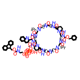 CC(C)[C@H]1C(=O)NC[C@@H](NC(=O)c2nc3ccccc3cc2OCOP(=O)(O)OP(=O)(O)OCCNC(=O)OCC2c3ccccc3-c3ccccc32)C(=O)N2CCCC[C@H]2C(=O)NCC(=O)N(C)CC(=O)N(C)[C@@H](C(C)C)C(=O)NC[C@@H](NC(=O)OCc2ccccc2)C(=O)N2CCCC[C@H]2C(=O)NCC(=O)N(C)CC(=O)N1C